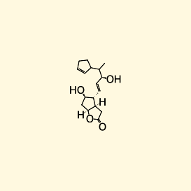 CC(C1C=CCC1)[C@@H](O)/C=C/[C@@H]1[C@H]2CC(=O)O[C@H]2C[C@H]1O